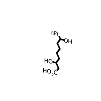 CCCC(O)CCCCC(O)CC(=O)O